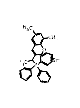 Cc1cc(C)c2c(c1)C=C(C(C)[P+](c1ccccc1)(c1ccccc1)c1ccccc1)CO2.[Br-]